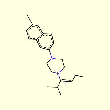 CC/C=C(/C(C)C)N1CCN(c2ccc3cc(C)ccc3c2)CC1